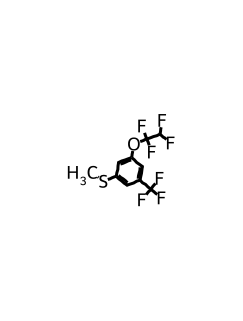 CSc1cc(OC(F)(F)C(F)F)cc(C(F)(F)F)c1